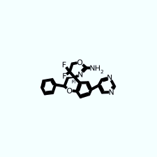 NC1=N[C@@]2(CC(c3ccccc3)Oc3ccc(-c4cncnc4)cc32)C(F)(F)CO1